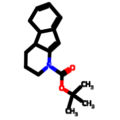 CC(C)(C)OC(=O)N1CCCC2C1=CC1=CC=CCC12